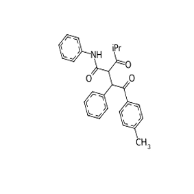 Cc1ccc(C(=O)C(c2ccccc2)C(C(=O)Nc2ccccc2)C(=O)C(C)C)cc1